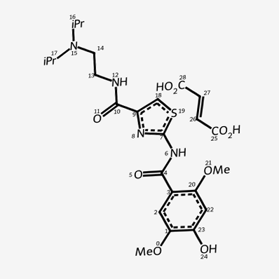 COc1cc(C(=O)Nc2nc(C(=O)NCCN(C(C)C)C(C)C)cs2)c(OC)cc1O.O=C(O)C=CC(=O)O